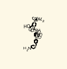 CC(C)(N)C(=O)N1CCN(C(=O)Nc2ccn(-c3ccc(CN4CCC(N)CC4)cc3)c(=O)n2)C(C(=O)O)C1.Cl